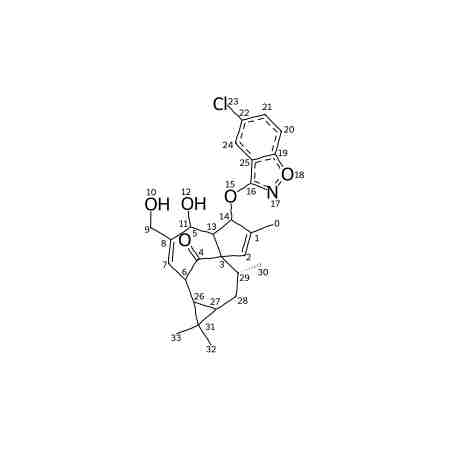 CC1=CC23C(=O)C(C=C(CO)C(O)C2C1Oc1noc2ccc(Cl)cc12)C1C(C[C@H]3C)C1(C)C